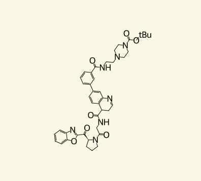 CC(C)(C)OC(=O)N1CCN(CCNC(=O)c2cccc(-c3ccc4c(c3)N=CCC4C(=O)NCC(=O)N3CCC[C@H]3C(=O)c3nc4ccccc4o3)c2)CC1